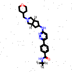 [2H]C([2H])([2H])NC(=O)c1ccc(-c2ccc(NC3C[C@@H]4CN(CC5CCOCC5)C[C@@H]4C3)nn2)cc1